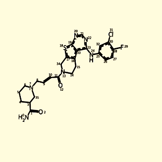 NC(=O)C1CCCN(C/C=C/C(=O)N2CCc3c(sc4ncnc(Nc5ccc(F)c(Cl)c5)c34)C2)C1